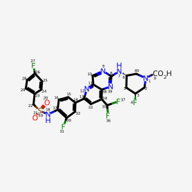 O=C(O)N1C[C@@H](F)C[C@H](Nc2ncc3nc(-c4ccc(NS(=O)(=O)Cc5ccc(F)cc5)c(F)c4)cc(C(F)F)c3n2)C1